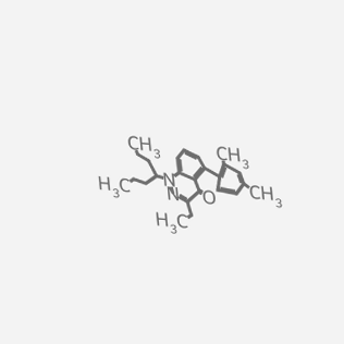 CCCC(CCC)n1nc(CC)c(=O)c2c(-c3ccc(C)cc3C)cccc21